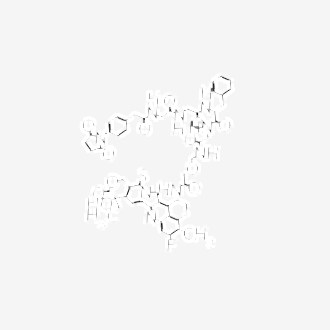 CC[C@@]1(O)C(=O)OCc2c1cc1n(c2=S)Cc2c-1nc1cc(F)c(C)c3c1c2[C@H](NC(=O)COCNC(=O)CNC(=O)[C@H](Cc1ccccc1)NC(=O)CNC(=O)CNC(=O)Cc1ccc(N2C(=O)C=CC2=O)cc1)CC3